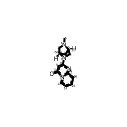 CN1C[C@@H]2C[C@H]1CN2c1cc(=O)n2ccccc2n1